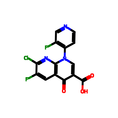 O=C(O)c1cn(-c2ccncc2F)c2nc(Cl)c(F)cc2c1=O